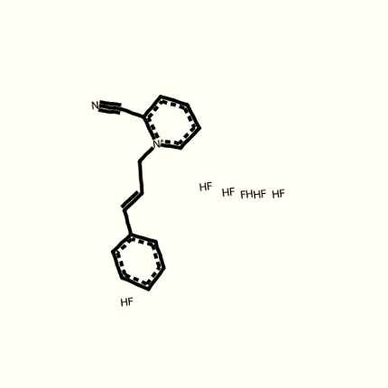 F.F.F.F.F.F.N#Cc1cccc[n+]1CC=Cc1ccccc1